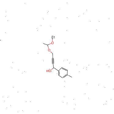 CCOC(C)OCC#CC(O)c1ccc(C)cc1